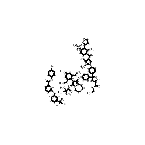 CCOC(=O)C1=NOC(c2ccccc2)(c2ccccc2)C1.CCc1cc(C)cc(CC)c1-c1c(OC(=O)C(C)(C)C)n2n(c1=O)CCOCC2.Cc1c(C(=O)c2cnn(C)c2O)ccc(S(C)(=O)=O)c1C1=NOCC1.O=C(Nc1ccc(F)cc1)c1cccc(Oc2cccc(C(F)(F)F)c2)n1